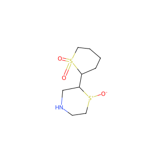 O=S1(=O)CCCCC1C1CNCC[S+]1[O-]